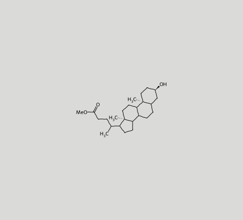 COC(=O)CCC(C)C1CCC2C3CCC4C[C@H](O)CC[C@]4(C)C3CC[C@]12C